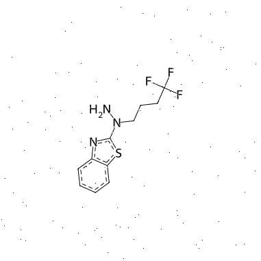 NN(CCCC(F)(F)F)c1nc2ccccc2s1